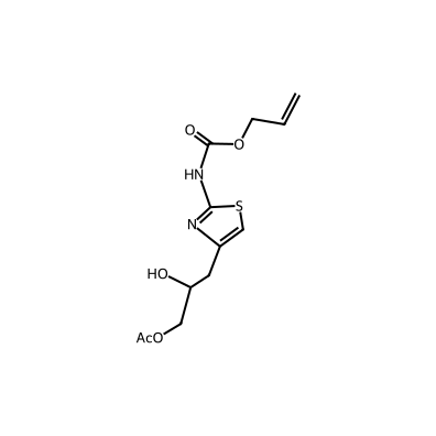 C=CCOC(=O)Nc1nc(CC(O)COC(C)=O)cs1